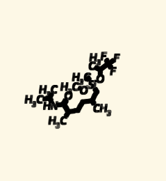 CO[Si](C)(CC(C)CCC(C)C(=O)NC(C)C)OC(C)C(F)(F)F